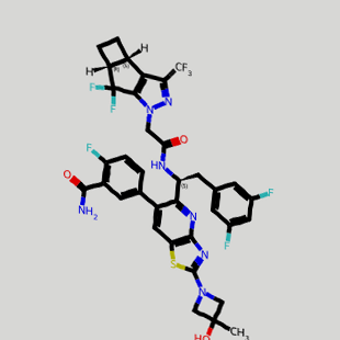 CC1(O)CN(c2nc3nc([C@H](Cc4cc(F)cc(F)c4)NC(=O)Cn4nc(C(F)(F)F)c5c4C(F)(F)[C@@H]4CC[C@H]54)c(-c4ccc(F)c(C(N)=O)c4)cc3s2)C1